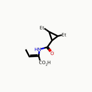 C/C=C(\NC(=O)C1C(CC)C1CC)C(=O)O